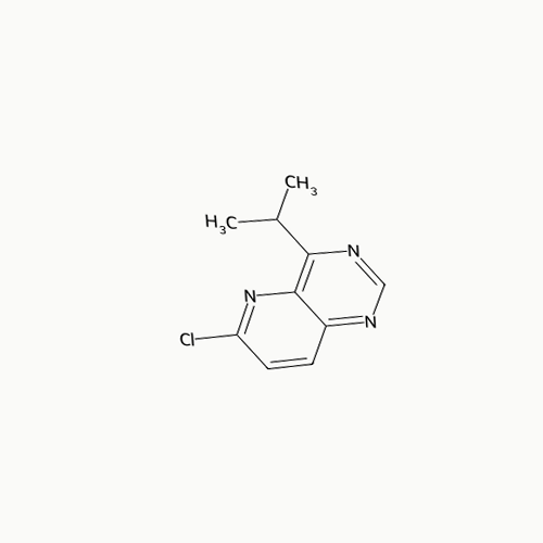 CC(C)c1ncnc2ccc(Cl)nc12